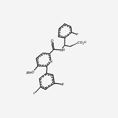 COc1ccc(C(=O)NC(CC(=O)O)c2ccccc2F)nc1-c1cc(F)cc(F)c1